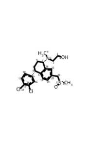 CN(CCO)[C@H]1CC[C@@H](c2ccc(Cl)c(Cl)c2)c2ccc(C[S+](C)[O-])cc21